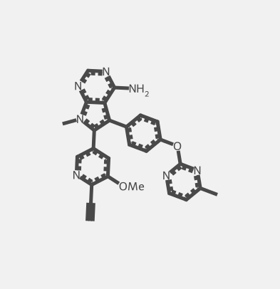 C#Cc1ncc(-c2c(-c3ccc(Oc4nccc(C)n4)cc3)c3c(N)ncnc3n2C)cc1OC